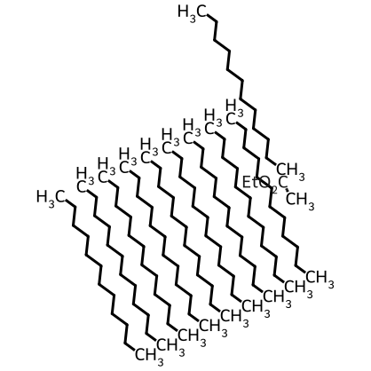 CCCCCCCCCCCC.CCCCCCCCCCCC.CCCCCCCCCCCC.CCCCCCCCCCCC.CCCCCCCCCCCC.CCCCCCCCCCCC.CCCCCCCCCCCC.CCCCCCCCCCCC.CCCCCCCCCCCC.CCCCCCCCCCCC.CCOC(C)=O